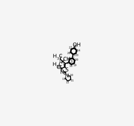 CCC(C)(C)C(=C1SC(N2CCCC2)=NC1=O)c1cccc(-c2ccc(O)cc2)c1